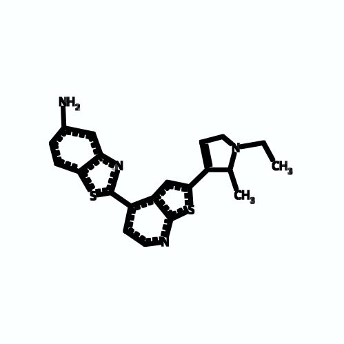 CCN1CC=C(c2cc3c(-c4nc5cc(N)ccc5s4)ccnc3s2)C1C